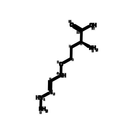 NNN=CNOCC[C@H](N)C(=O)O